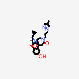 Cc1cnn(CCCN2CC[C@@]3(O)[C@H]4Cc5ccc(O)cc5[C@@]3(CCN4CC3CC3)CC2=O)c1